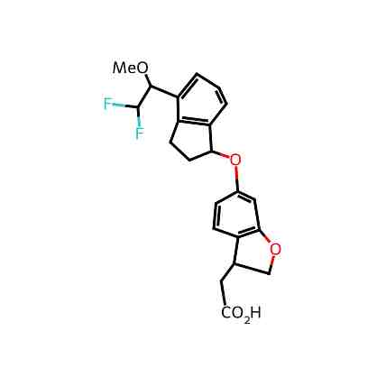 COC(c1cccc2c1CCC2Oc1ccc2c(c1)OCC2CC(=O)O)C(F)F